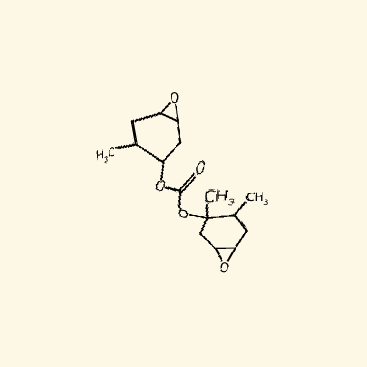 CC1CC2OC2CC1OC(=O)OC1(C)CC2OC2CC1C